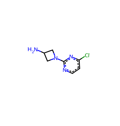 NC1CN(c2nccc(Cl)n2)C1